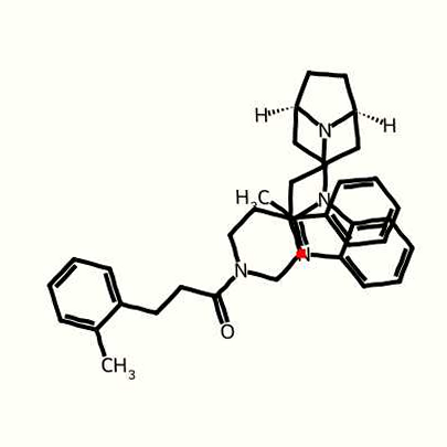 Cc1ccccc1CCC(=O)N1CCC(CCN2[C@@H]3CC[C@H]2CC(n2c(C)nc4ccccc42)C3)(c2ccccc2)CC1